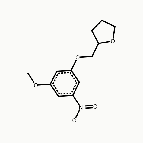 COc1cc(OCC2CCCO2)cc([N+](=O)[O-])c1